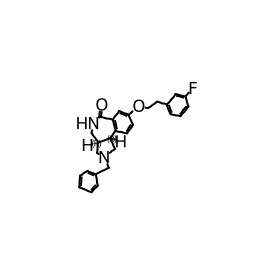 O=C1NC[C@@H]2CN(Cc3ccccc3)C[C@H]2c2ccc(OCCc3cccc(F)c3)cc21